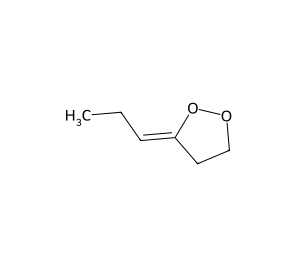 CCC=C1CCOO1